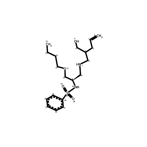 C=CCC(CO)CNC[C@H](COCCCC)NS(=O)(=O)c1ccccc1